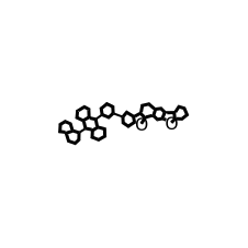 c1cc(-c2ccc3oc4c5cc6oc7ccccc7c6cc5ccc4c3c2)cc(-c2c3ccccc3c(-c3cccc4ccccc34)c3ccccc23)c1